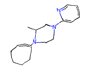 CC1CN(c2ccccn2)CCN1C1=CCCCC1